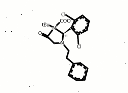 CC(C)(C)[N+]1(C(=O)[O-])C(=O)CN(CCc2ccccc2)[C@@H]1c1c(Cl)cccc1Cl